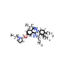 Cc1cccc([C@@H](C)Nc2nnc(C)c3ccc(OC[C@@H]4CCCN4C)cc23)c1C